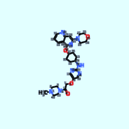 CN1CCN(C(=O)COc2cnc(NC3CCC(Oc4nc(N5CCOCC5)cc5ncccc45)CC3)nc2)CC1